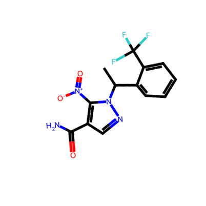 CC(c1ccccc1C(F)(F)F)n1ncc(C(N)=O)c1[N+](=O)[O-]